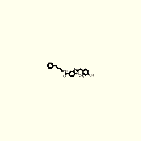 Cn1c(Cc2ccc(C#N)cc2)nc2cc(C(=O)NCCCCc3ccccc3)ccc21